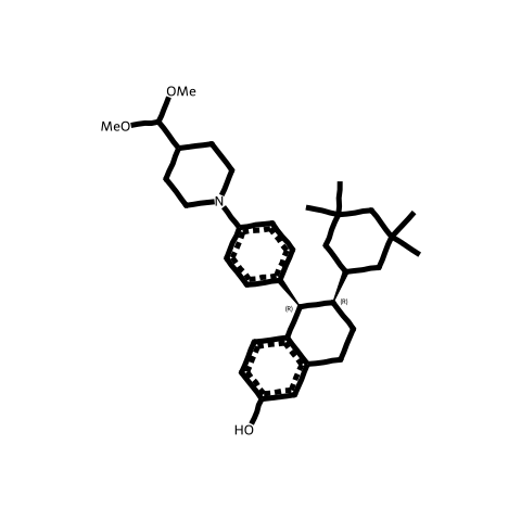 COC(OC)C1CCN(c2ccc([C@@H]3c4ccc(O)cc4CC[C@@H]3C3CC(C)(C)CC(C)(C)C3)cc2)CC1